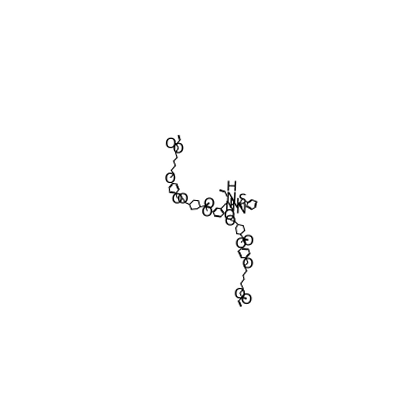 C=CCNN(/N=C/c1cc(OC(=O)C2CCC(COOc3ccc(OCCCCCCOC(=O)C=C)cc3)CC2)ccc1OOCC1CCC(C(=O)Oc2ccc(OCCCCCCOC(=O)C=C)cc2)CC1)c1nc2ccccc2s1